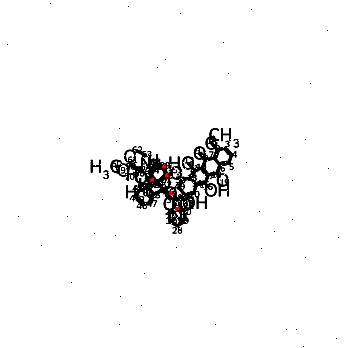 COc1cccc2c1C(=O)c1c(O)c3c(c(O)c1C2=O)C[C@@](O)(C(=O)N1CC2CC(C1)N2C(=O)OCC1c2ccccc2-c2ccccc21)C[C@@H]3O[C@H]1C[C@H]2[C@H](O[C@@H]3[C@@H](OC)OCCN32)[C@H](C)O1